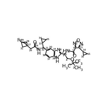 CC(C)(OC[C@H](NC(=O)c1nonc1C1CC1)c1nc2cc([C@H](NC(=O)CC34CC(F)(C3)C4)C3CC3)ccc2[nH]1)C(F)(F)F